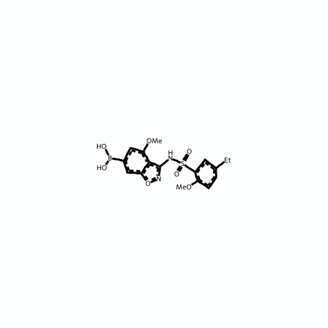 CCc1ccc(OC)c(S(=O)(=O)Nc2noc3cc(B(O)O)cc(OC)c23)c1